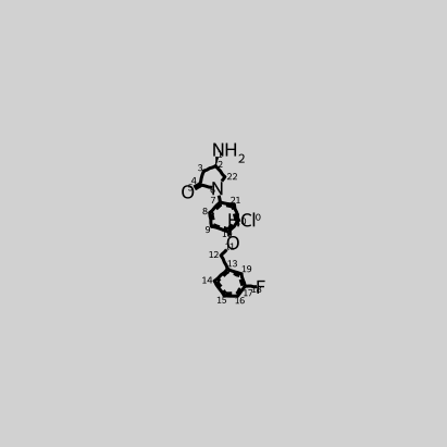 Cl.N[C@@H]1CC(=O)N(c2ccc(OCc3cccc(F)c3)cc2)C1